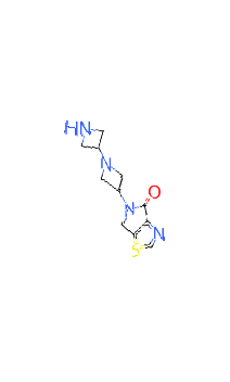 O=C1c2ncsc2CN1C1CN(C2CNC2)C1